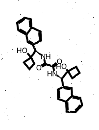 O=C(N[C@H](c1ccc2ccccc2c1)C1(O)CCC1)C(=O)N[C@H](c1ccc2ccccc2c1)C1(O)CCC1